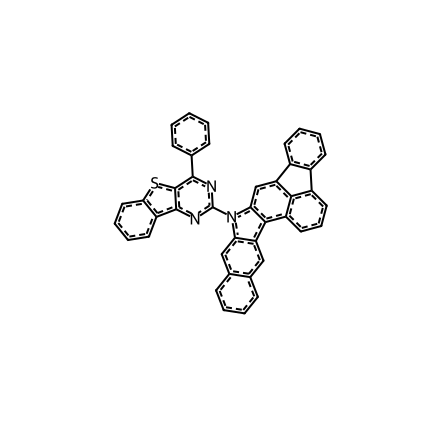 c1ccc(-c2nc(-n3c4cc5ccccc5cc4c4c5cccc6c5c(cc43)-c3ccccc3-6)nc3c2sc2ccccc23)cc1